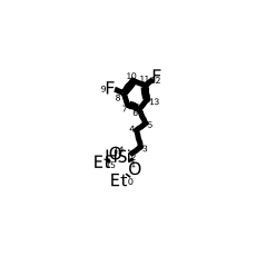 CCO[SiH](CCCc1cc(F)cc(F)c1)OCC